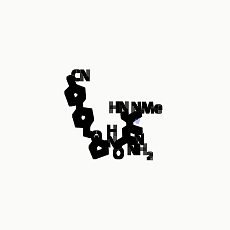 CN/C=C(\C=N)c1cnc(N)c(C(=O)NC2CCC[C@@H]2OCc2ccc(-c3ccc(CC#N)cc3)cc2)c1